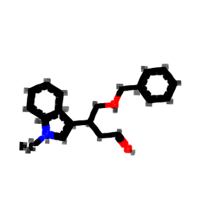 Cn1cc(C(CC=O)COCc2ccccc2)c2ccccc21